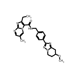 CCc1nc2ncc(C)cn2c1C(=O)NCc1ccc(-c2nc3n(n2)CCC(OC)C3)cc1